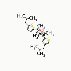 CC(C)Cc1csc([Si](C)(C)O[Si](C)(C)c2ccc(CC(C)C)s2)c1